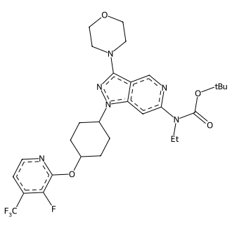 CCN(C(=O)OC(C)(C)C)c1cc2c(cn1)c(N1CCOCC1)nn2C1CCC(Oc2nccc(C(F)(F)F)c2F)CC1